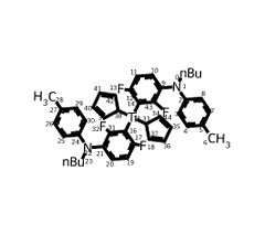 CCCCN(c1ccc(C)cc1)c1ccc(F)[c]([Ti]([c]2c(F)ccc(N(CCCC)c3ccc(C)cc3)c2F)([CH]2C=CC=C2)[CH]2C=CC=C2)c1F